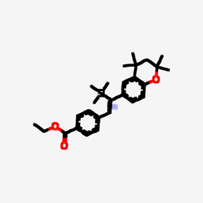 CCOC(=O)c1ccc(/C=C(/c2ccc3c(c2)C(C)(C)CC(C)(C)O3)[Si](C)(C)C)cc1